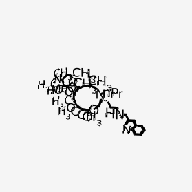 CCCN1C[C@H](C)C[C@@](C)(OC)[C@H](O[C@@H]2O[C@H](C)C[C@H](N(C)C)[C@H]2O)[C@@H](C)C(=O)C(C)(C)C(=O)OC[C@H]1CCCNCc1cnc2ccccc2c1